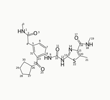 CNC(=O)Cc1ccc(NC(=O)Nc2nc(C(=O)NC)c(C)s2)c(C(=O)C2CCCC2)c1